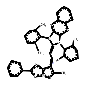 Cc1cccc(C)c1N1C(=C/C=c2/c(C)nn3nc(-c4ccccc4)nc23)N(c2c(C)cccc2C)c2nc3ccccc3nc21